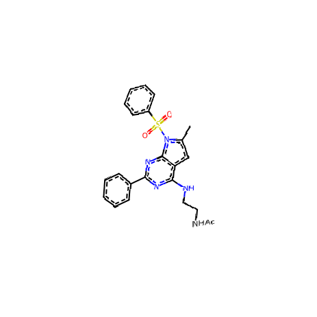 CC(=O)NCCNc1nc(-c2ccccc2)nc2c1cc(C)n2S(=O)(=O)c1ccccc1